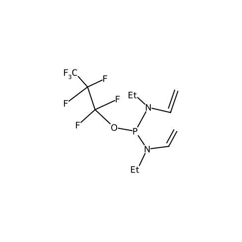 C=CN(CC)P(OC(F)(F)C(F)(F)C(F)(F)F)N(C=C)CC